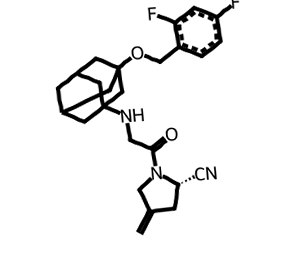 C=C1C[C@@H](C#N)N(C(=O)CNC23CC4CC(C2)CC(OCc2ccc(F)cc2F)(C4)C3)C1